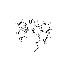 CCCCSc1c(N(S)C(=O)[C@@H]2[C@H](C=O)[C@H]3C=C[C@@H]2O3)ccc(C)c1C=O